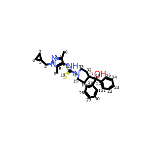 Cc1nn(CC2CC2)c(C)c1NC(=S)N1CCC(C(O)(c2ccccc2)c2ccccc2)CC1